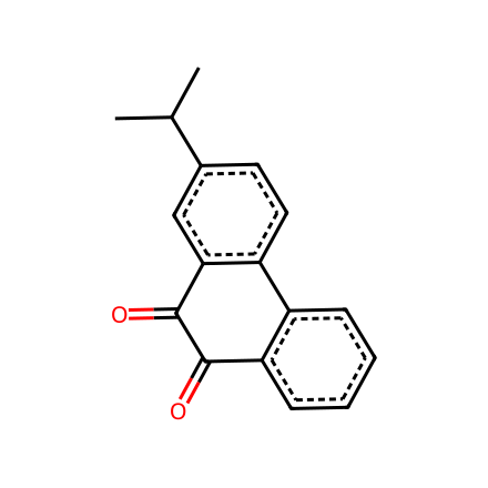 CC(C)c1ccc2c(c1)C(=O)C(=O)c1ccccc1-2